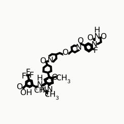 COc1cc2nc(C)nc(N[C@H](C)c3cc(C(=O)O)cc(C(F)(F)F)c3)c2cc1C1CCC(C(=O)N2CCC(CCOCC3CCN(C(=O)c4ccc(F)c(N5CCC(=O)NC5=O)c4)CC3)CC2)CC1